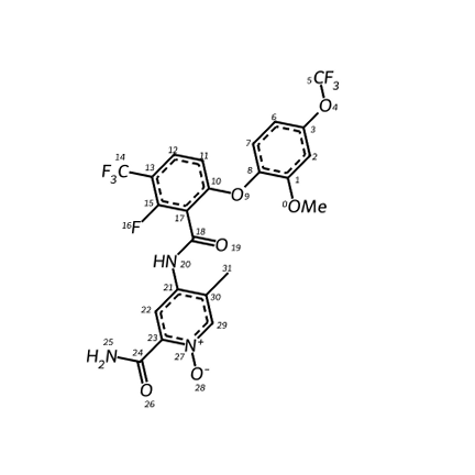 COc1cc(OC(F)(F)F)ccc1Oc1ccc(C(F)(F)F)c(F)c1C(=O)Nc1cc(C(N)=O)[n+]([O-])cc1C